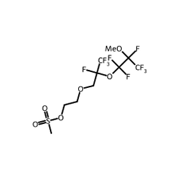 COC(F)(C(F)(F)F)C(F)(F)OC(F)(COCCOS(C)(=O)=O)C(F)(F)F